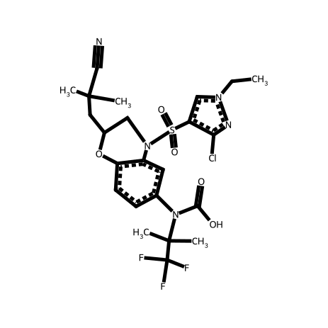 CCn1cc(S(=O)(=O)N2CC(CC(C)(C)C#N)Oc3ccc(N(C(=O)O)C(C)(C)C(F)(F)F)cc32)c(Cl)n1